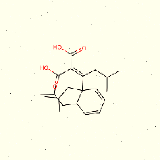 CC(C)CC(=C(C(=O)O)C(=O)O)C1(CC(C)C)C=CC=CC1CC(C)C